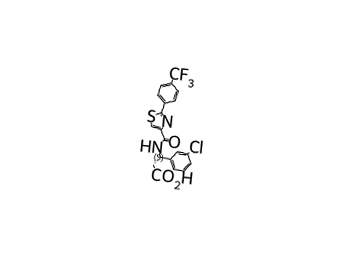 O=C(O)C[C@H](NC(=O)c1csc(-c2ccc(C(F)(F)F)cc2)n1)c1cccc(Cl)c1